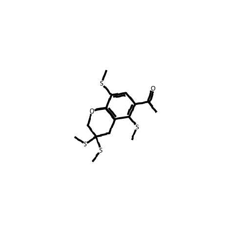 CSc1cc(C(C)=O)c(SC)c2c1OCC(SC)(SC)C2